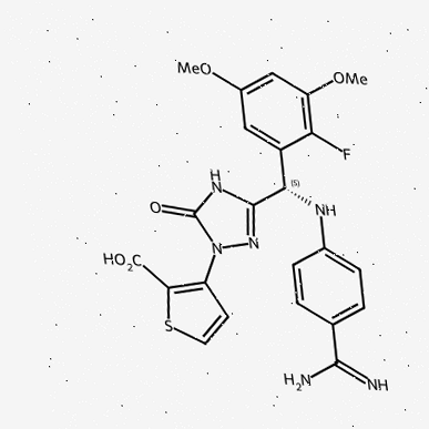 COc1cc(OC)c(F)c([C@H](Nc2ccc(C(=N)N)cc2)c2nn(-c3ccsc3C(=O)O)c(=O)[nH]2)c1